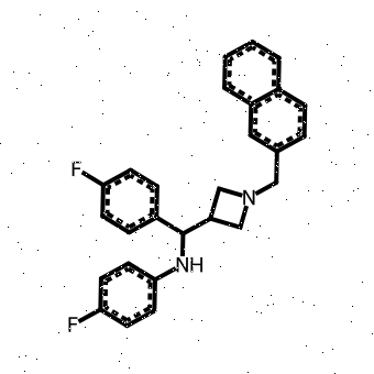 Fc1ccc(NC(c2ccc(F)cc2)C2CN(Cc3ccc4ccccc4c3)C2)cc1